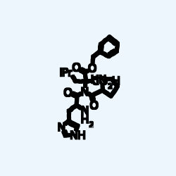 CC(C)CC(C(=O)O)(C(=O)OCc1ccccc1)N(C(=O)C(N)Cc1c[nH]cn1)C(=O)C1CCCN1